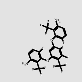 Nc1ccc(F)c(Oc2cc(Oc3c(F)ccc(N)c3C(F)(F)F)c(C(F)(F)F)c(F)c2F)c1C(F)(F)F